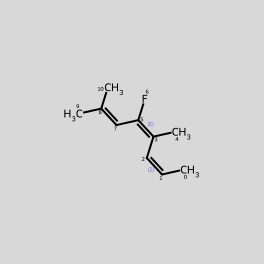 C/C=C\C(C)=C(\F)C=C(C)C